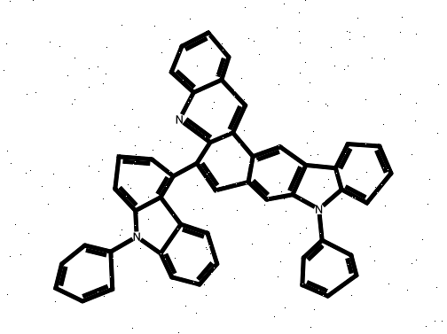 c1ccc(-n2c3ccccc3c3cc4c(cc(-c5cccc6c5c5ccccc5n6-c5ccccc5)c5nc6ccccc6cc54)cc32)cc1